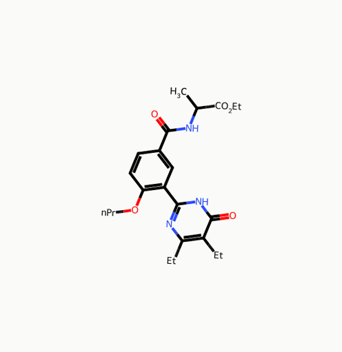 CCCOc1ccc(C(=O)NC(C)C(=O)OCC)cc1-c1nc(CC)c(CC)c(=O)[nH]1